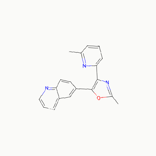 Cc1cccc(-c2nc(C)oc2-c2ccc3ncccc3c2)n1